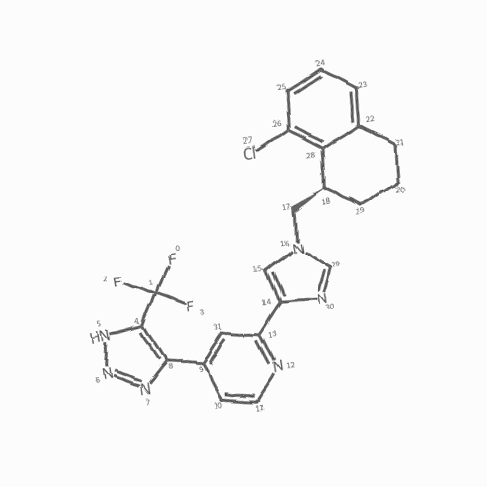 FC(F)(F)c1[nH]nnc1-c1ccnc(-c2cn(C[C@@H]3CCCc4cccc(Cl)c43)cn2)c1